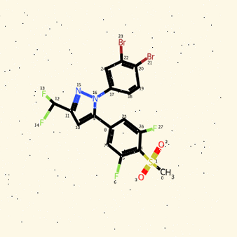 CS(=O)(=O)c1c(F)cc(-c2cc(C(F)F)nn2-c2ccc(Br)c(Br)c2)cc1F